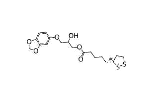 O=C(CCCC[C@@H]1CCSS1)OCC(O)COc1ccc2c(c1)OCO2